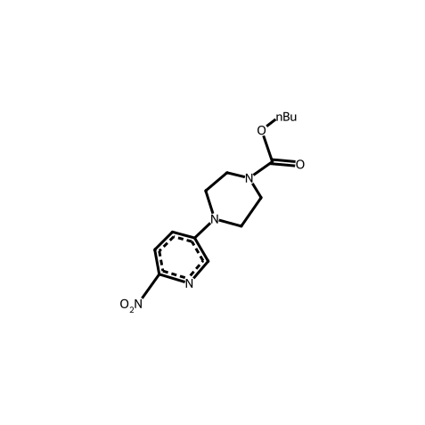 CCCCOC(=O)N1CCN(c2ccc([N+](=O)[O-])nc2)CC1